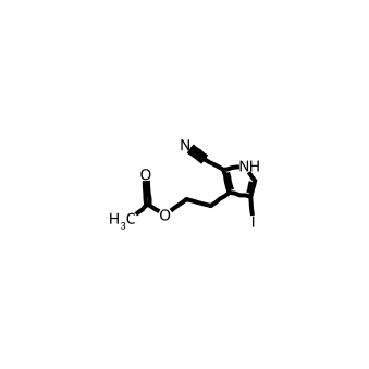 CC(=O)OCCc1c(I)c[nH]c1C#N